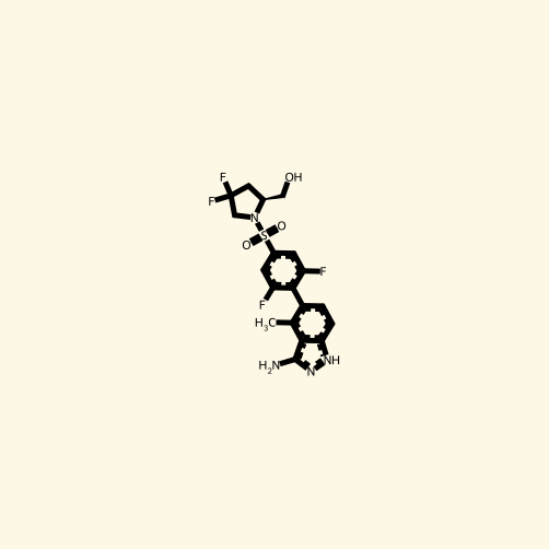 Cc1c(-c2c(F)cc(S(=O)(=O)N3CC(F)(F)C[C@H]3CO)cc2F)ccc2[nH]nc(N)c12